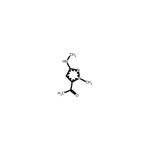 CNc1cc(C(C)=O)n(C)n1